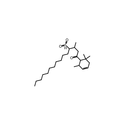 CCCCCCCCCCCC(C(C)CC(=O)C1C(C)C=CCC1(C)C)[SH](=O)=O